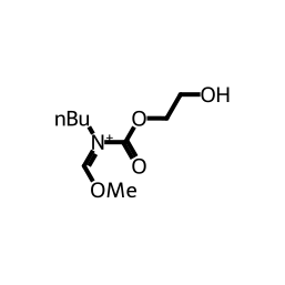 CCCC[N+](=COC)C(=O)OCCO